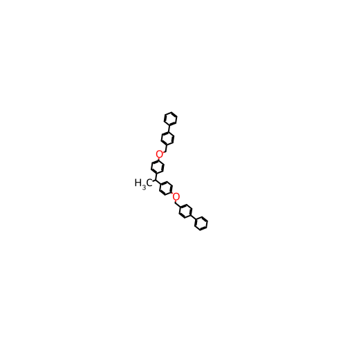 CC(c1ccc(OCc2ccc(-c3ccccc3)cc2)cc1)c1ccc(OCc2ccc(-c3ccccc3)cc2)cc1